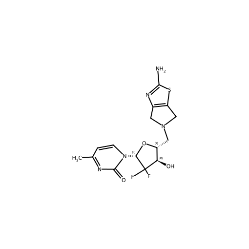 Cc1ccn([C@@H]2O[C@H](CN3Cc4nc(N)sc4C3)[C@@H](O)C2(F)F)c(=O)n1